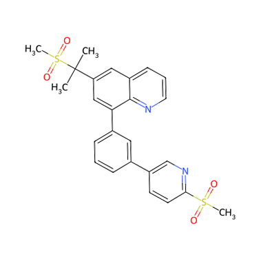 CC(C)(c1cc(-c2cccc(-c3ccc(S(C)(=O)=O)nc3)c2)c2ncccc2c1)S(C)(=O)=O